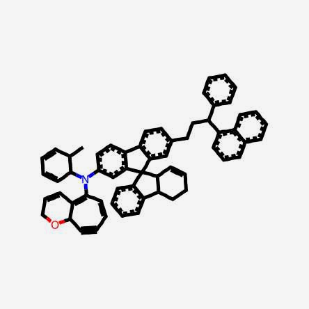 CC1C=CC=CC1N(C1=C2C=CCOC2C#CC=C1)c1ccc2c(c1)C1(c3cc(CCC(c4ccccc4)c4cccc5ccccc45)ccc3-2)c2ccccc2C2CCC=CC21